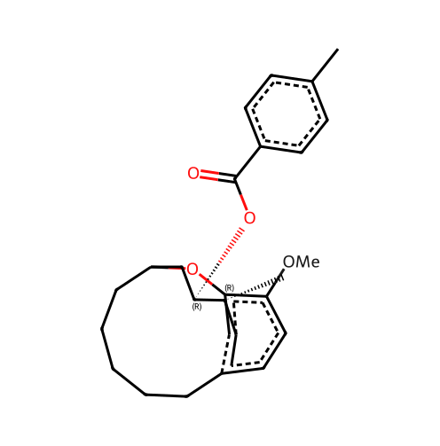 COc1ccc2c3c1OC(CCCCC2)C[C@@H](OC(=O)c1ccc(C)cc1)[C@@H]3C